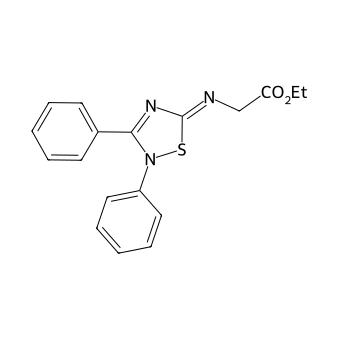 CCOC(=O)CN=c1nc(-c2ccccc2)n(-c2ccccc2)s1